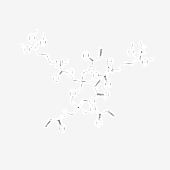 C=CC(=O)OCC(COCC(COC(=O)C=C)(COC(=O)NCCC[Si](OC)(OC)OC)COC(=O)NCCC[Si](OC)(OC)OC)(COC(=O)C=C)COC(=O)C=C